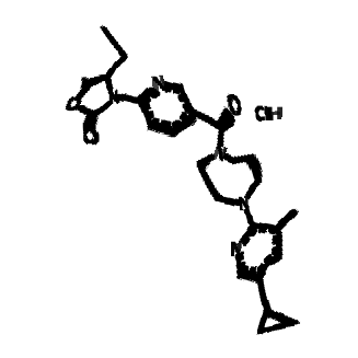 CCC1COC(=O)N1c1ccc(C(=O)N2CCN(c3ncc(C4CC4)cc3C)CC2)cn1.Cl